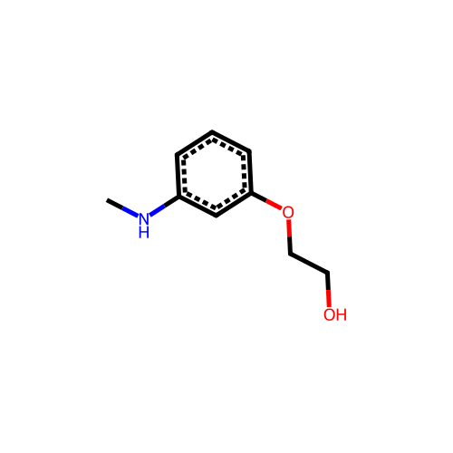 CNc1cccc(OCCO)c1